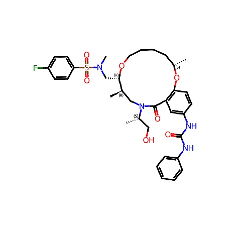 C[C@@H]1CN([C@@H](C)CO)C(=O)c2cc(NC(=O)Nc3ccccc3)ccc2O[C@@H](C)CCCCO[C@H]1CN(C)S(=O)(=O)c1ccc(F)cc1